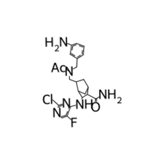 CC(=O)N(Cc1cccc(N)c1)CC1CC2CC1C(Nc1nc(Cl)ncc1F)C2C(N)=O